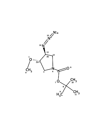 CO[C@H]1CN(C(=O)OC(C)(C)C)C[C@@H]1N=[N+]=[N-]